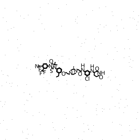 CCc1cc(N2C(=S)N(c3ccc(C#N)c(C(F)(F)F)c3)C(=O)C2(C)C)ccc1OCCN1CCN(CC(=O)Nc2cc(Cl)cc(NC3CCC(=O)NC3=O)c2)[C@H](C)C1